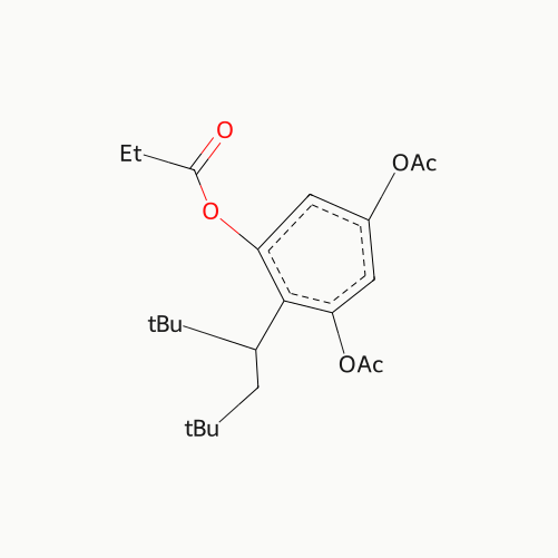 CCC(=O)Oc1cc(OC(C)=O)cc(OC(C)=O)c1C(CC(C)(C)C)C(C)(C)C